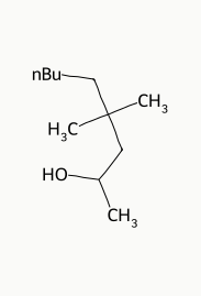 CCCCCC(C)(C)CC(C)O